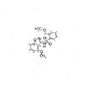 COCc1ccccc1S(=O)(=O)Nc1noc2cccc(OC)c12